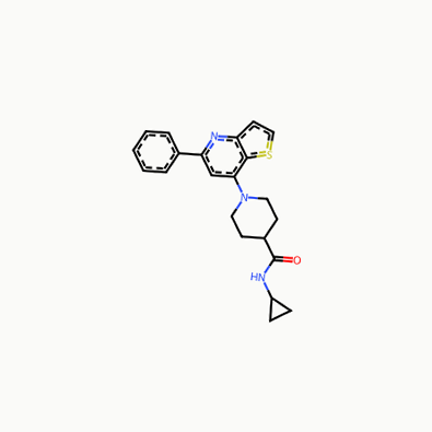 O=C(NC1CC1)C1CCN(c2cc(-c3ccccc3)nc3ccsc23)CC1